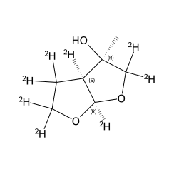 [2H]C1([2H])O[C@]2([2H])OC([2H])([2H])[C@](C)(O)[C@]2([2H])C1([2H])[2H]